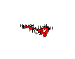 CC(=O)NC(CSSCCC(=O)NCCCCC(NC(=O)CC[C@@H]1NC(=O)[C@H](Cc2ccc(O)cc2)NC(=O)[C@H](Cc2ccc3ccccc3c2)NC(=O)[C@@H]2CCCCN2C(=O)C([C@H](C)OP(=O)(O)O)NC(=O)CN(C)C(=O)C(C)NC1=O)C(N)=O)C(=O)C(C)(C)N[C@@H](CCCNC(=N)N)C(=O)C(C)(N)O